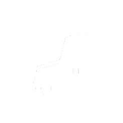 O=C(O)C=CCBr.[Hg]